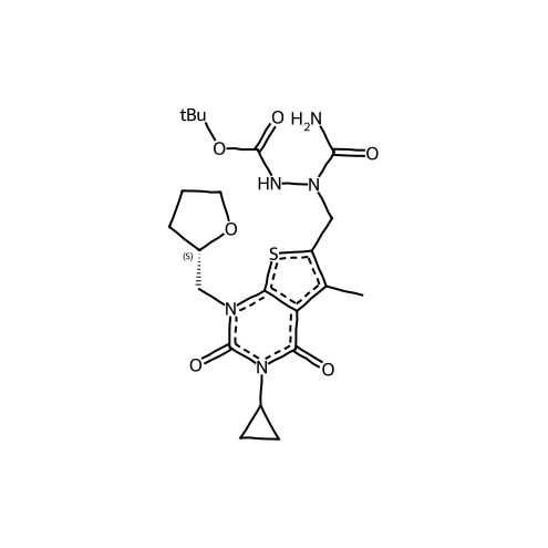 Cc1c(CN(NC(=O)OC(C)(C)C)C(N)=O)sc2c1c(=O)n(C1CC1)c(=O)n2C[C@@H]1CCCO1